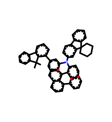 CC1(C)c2ccccc2-c2cccc(-c3cccc(N(c4ccc5c(c4)C4(CCCCC4)c4ccccc4-5)c4ccccc4-c4cccc5cccc(-c6ccccc6)c45)c3)c21